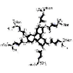 CCCCCCCCCN(C)/C=C/C(=O)Oc1cc2c3cc(OC(=O)/C=C/N(C)CCCCCCCCC)c(OC(=O)/C=C/N(C)CCCCCCCCC)cc3c3cc(OC(=O)/C=C/N(C)CCCCCCCCC)c(OC(=O)/C=C/N(C)CCCCCCCCC)cc3c2cc1OC(=O)/C=C/N(C)CCCCCCCCC